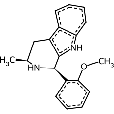 COc1ccccc1[C@H]1N[C@@H](C)Cc2c1[nH]c1ccccc21